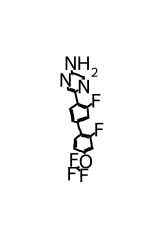 Nc1cnc(-c2ccc(-c3ccc(OC(F)(F)F)cc3F)cc2F)cn1